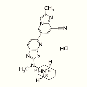 Cc1cn2cc(-c3ccc4nc(N(C)[C@@H]5C[C@H]6CCC[C@@H](C5)N6)sc4n3)cc(C#N)c2n1.Cl